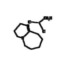 C1CCC2=NCCCN2CC1.O=C(O)C(Cl)Cl